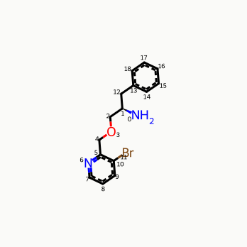 N[C@@H](COCc1ncccc1Br)Cc1ccccc1